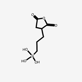 O=C1CC(CCC[Si](O)(O)O)C(=O)O1